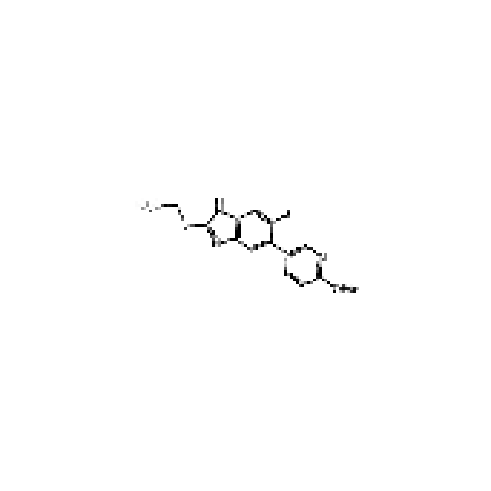 COc1ccc(-c2cc3nc(SCC(=O)O)[nH]c3cc2Cl)cn1